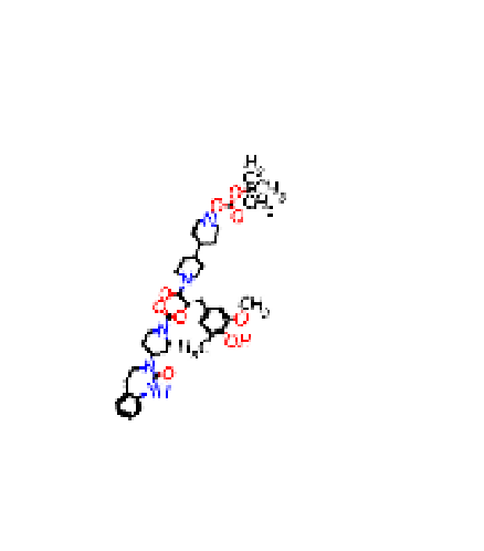 COc1cc(C[C@@H](OC(=O)N2CCC(N3CCc4ccccc4NC3=O)CC2)C(=O)N2CCC(C3CCN(OC(=O)OC(C)(C)C)CC3)CC2)cc(C)c1O